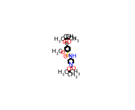 COc1cc(B2OC(C)(C)C(C)(C)O2)ccc1[S+]([O-])NC1CCN(C(=O)OC(C)(C)C)CC1